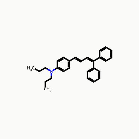 CCCN(CCC)c1ccc(C=CC=C(c2ccccc2)c2ccccc2)cc1